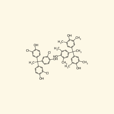 CC(c1ccc(O)c(Cl)c1)(c1ccc(O)c(Cl)c1)c1ccc(O)c(Cl)c1.Cc1cc(C(C)(c2cc(C)c(O)c(C)c2)c2cc(C)c(O)c(C)c2)cc(C)c1O